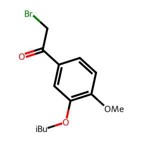 CCC(C)Oc1cc(C(=O)CBr)ccc1OC